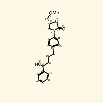 COC[C@H]1CN(c2ccc(CCCC(O)c3ccccc3)cc2)C(=O)O1